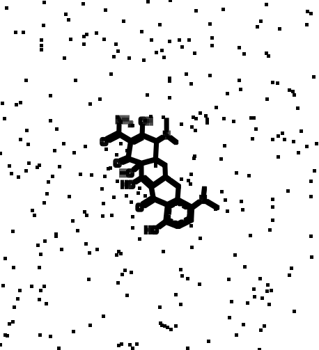 CN(C)c1ccc(O)c2c1CC1CC3C(N(C)C)C(O)=C(C(N)=O)C(=O)C3(O)C(O)=C1C2=O